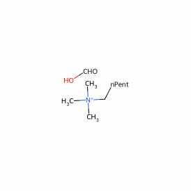 CCCCCC[N+](C)(C)C.O=CO